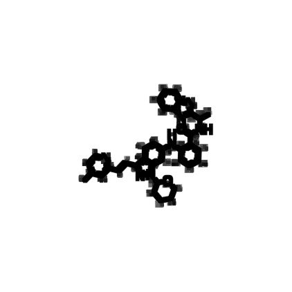 Cc1ccnc(C=Cc2nn(C3CCCCO3)c3cc(Nc4ccccc4C(=O)NC(C)c4nc5ccccc5[nH]4)ccc23)c1